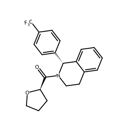 O=C([C@H]1CCCO1)N1CCc2ccccc2[C@H]1c1ccc(C(F)(F)F)cc1